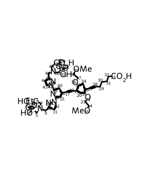 CCOP(=O)(O)CN(CC(=O)O)Cc1ccn(-c2cc(C#Cc3cc(OCCOC)c(C#CCCCCC(=O)O)cc3OCCOC)cc(-n3ccc(CN(CC(=O)O)CP(=O)(O)OCC)n3)n2)n1